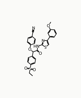 CCS(=O)(=O)c1ccc(C(Oc2ccc(C#N)cc2)C(=O)Nc2nc(-c3cccc(OC)c3)cs2)cc1